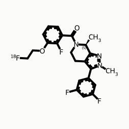 C[C@H]1c2nn(C)c(-c3cc(F)cc(F)c3)c2CCN1C(=O)c1cccc(OCC[18F])c1F